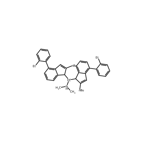 CCCCC1=Cc2c(-c3ccccc3CC)cccc2[CH]1[Hf]([CH]1C(CCCC)=Cc2c(-c3ccccc3CC)cccc21)[SiH](C)C